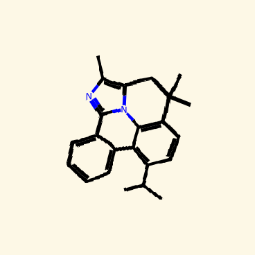 Cc1nc2c3ccccc3c3c(C(C)C)ccc4c3n2c1CC4(C)C